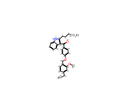 CCOC(=O)CCCc1[nH]c2ccccc2c1C(=O)c1ccc(OCc2ccc(CC(C)C)cc2OCC)cc1